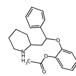 CC(=O)Oc1ccccc1OC(CC1CCCCN1)c1ccccc1